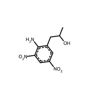 CC(O)Cc1cc([N+](=O)[O-])cc([N+](=O)[O-])c1N